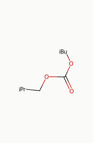 C[CH]C(C)OC(=O)OCC(C)C